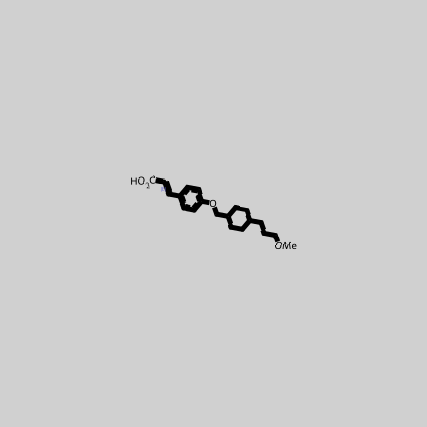 COCCCC1CCC(COc2ccc(/C=C/C(=O)O)cc2)CC1